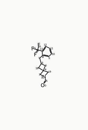 O=CN1CC2(CC(Cc3ccccc3C(F)(F)F)C2)C1